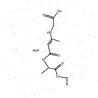 CCOC(=O)C(C)OC(=O)/C=C(\C)NCC(=O)O.[NaH]